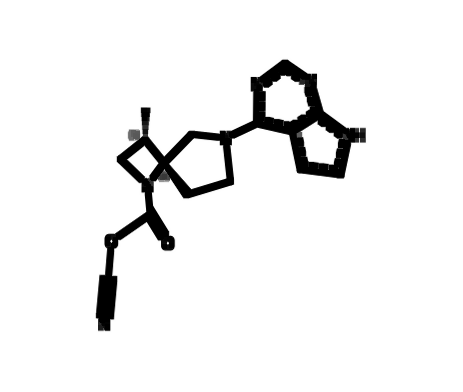 C[C@H]1CN(C(=O)OC#N)[C@]12CCN(c1ncnc3[nH]ccc13)C2